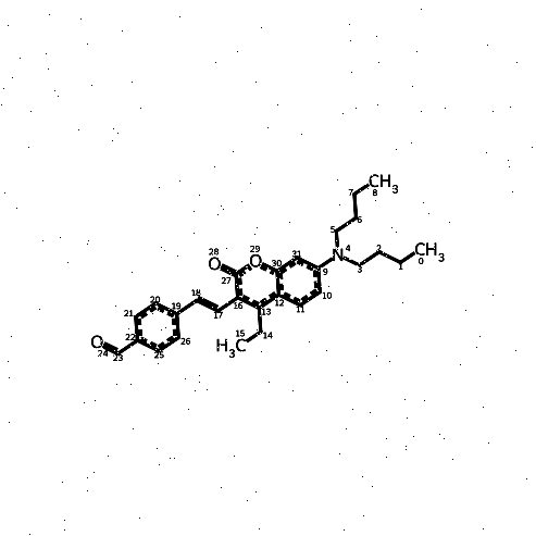 CCCCN(CCCC)c1ccc2c(CC)c(/C=C/c3ccc(C=O)cc3)c(=O)oc2c1